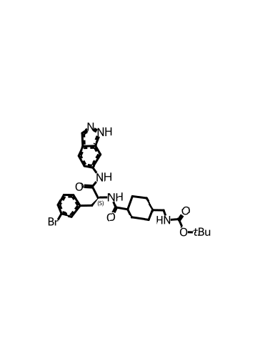 CC(C)(C)OC(=O)NCC1CCC(C(=O)N[C@@H](Cc2cccc(Br)c2)C(=O)Nc2ccc3cn[nH]c3c2)CC1